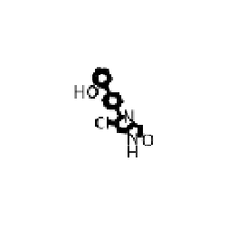 O=C1Cc2nc(-c3ccc(-c4ccccc4O)cc3)c(Cl)cc2N1